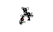 CS(=O)(=O)Nc1ccc(C(=O)OCC(=O)O[C@@H](Cc2c(Cl)c[n+]([O-])cc2Cl)c2ccc(OC(F)F)c(OCC3CC3)c2)cc1